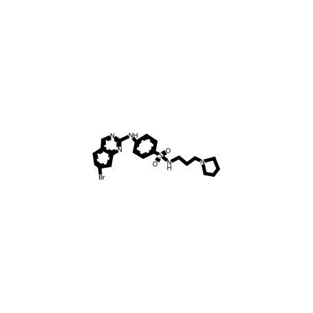 O=S(=O)(NCCCN1CCCC1)c1ccc(Nc2ncc3ccc(Br)cc3n2)cc1